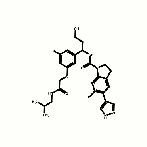 CC(C)CNC(=O)COc1cc(F)cc([C@@H](CCO)NC(=O)N2CCc3cc(-c4cn[nH]c4)c(F)cc32)c1